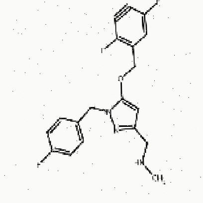 CNCc1cc(OCc2cc(F)c#cc2F)n(Cc2ccc(F)cc2)n1